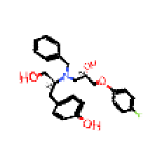 OC[C@H](Cc1ccc(O)cc1)N(Cc1ccccc1)C[C@H](O)COc1ccc(F)cc1